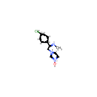 CN=C(Cn1cc[n+]([O-])c1)c1ccc(Cl)cc1